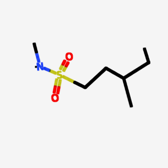 CCC(C)CCS(=O)(=O)[N]C